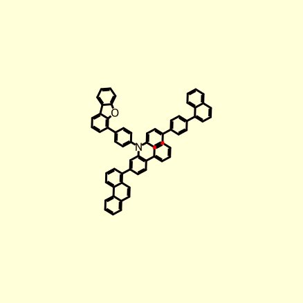 c1ccc(-c2ccc(-c3cccc4c3ccc3ccccc34)cc2N(c2ccc(-c3ccc(-c4cccc5ccccc45)cc3)cc2)c2ccc(-c3cccc4c3oc3ccccc34)cc2)cc1